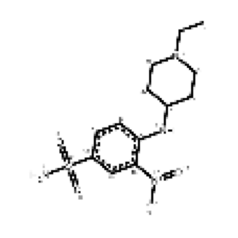 CCN1CCC(Nc2ccc(S(N)(=O)=O)cc2[N+](=O)[O-])CC1